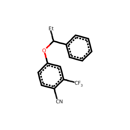 CCC(Oc1ccc(C#N)c(C(F)(F)F)c1)c1ccccc1